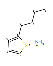 CCCCc1cccs1.N